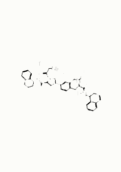 CN1Cc2cc(C3CC(C(=O)N[C@@H]4CCCc5ccccc54)N(C(=O)[C@@H](N)C(C)(C)C)C3)ccc2CC1C(=O)NC1CCCc2ccccc21